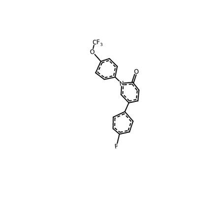 O=c1ccc(-c2ccc(F)cc2)cn1-c1ccc(OC(F)(F)F)cc1